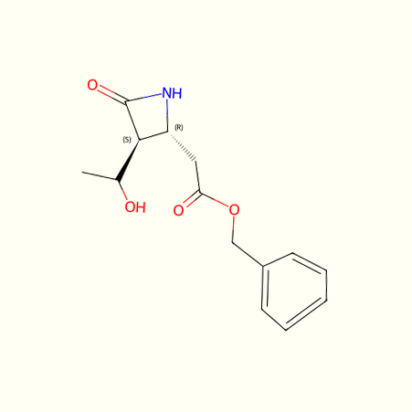 CC(O)[C@H]1C(=O)N[C@@H]1CC(=O)OCc1ccccc1